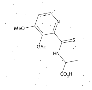 COc1ccnc(C(=S)NC(C)C(=O)O)c1OC(C)=O